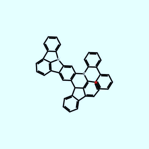 c1ccc(-c2ccccc2B2c3cc4c(cc3C3c5ccccc5-c5cccc2c53)c2cccc3c5ccccc5n4c32)cc1